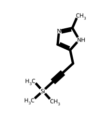 Cc1ncc(CC#C[Si](C)(C)C)[nH]1